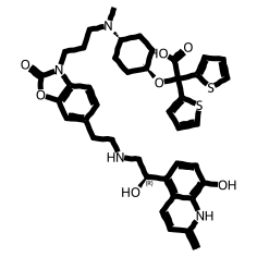 C=C1C=Cc2c([C@@H](O)CNCCc3ccc4c(c3)oc(=O)n4CCCN(C)[C@H]3CC[C@H](OC(C(=O)O)(c4cccs4)c4cccs4)CC3)ccc(O)c2N1